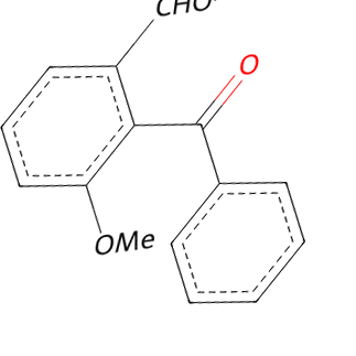 COc1cccc([C]=O)c1C(=O)c1ccccc1